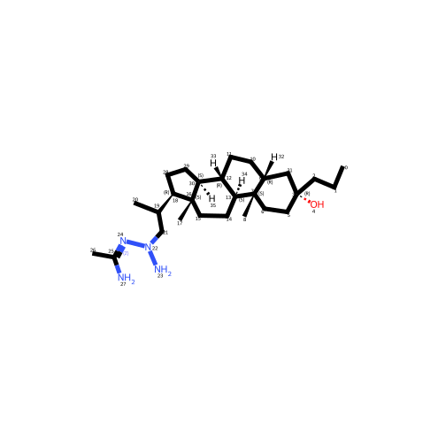 CCC[C@@]1(O)CC[C@@]2(C)[C@H](CC[C@@H]3[C@@H]2CC[C@]2(C)[C@@H](C(C)CN(N)/N=C(/C)N)CC[C@@H]32)C1